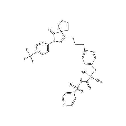 CC(C)(Oc1ccc(CCCC2=NN(c3ccc(C(F)(F)F)cc3)C(=O)C23CCCC3)cc1)C(=O)NS(=O)(=O)c1ccccc1